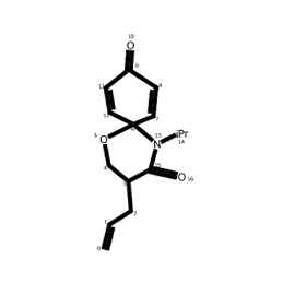 C=CCC1COC2(C=CC(=O)C=C2)N(C(C)C)C1=O